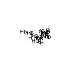 CC(C)(C)OC(=O)CN1CCN(CC(=O)NC(CCC(=O)O)C(=O)NCCOCCOCCC(=O)NCCCC(=O)O)CCN(CC(=O)OC(C)(C)C)CCN(CC(=O)OC(C)(C)C)CC1